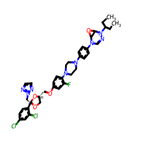 CCC(CC)N1N=CN(c2ccc(N3CCN(c4ccc(OC[C@@H]5CO[C@@](Cn6nccn6)(c6ccc(Cl)cc6Cl)O5)cc4F)CC3)cc2)C2OC21